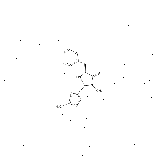 Cc1ccc(C2N[C@@H](Cc3ccccc3)C(=O)N2C)o1